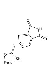 CCCC(C)SC(=S)S.O=C1NC(=O)c2ccccc21